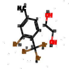 Cc1ccc(C(Br)(Br)Br)c(Br)c1.OCCO